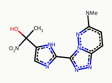 CNc1ccc2nnc(-c3ncc(C(C)(O)[N+](=O)[O-])[nH]3)n2n1